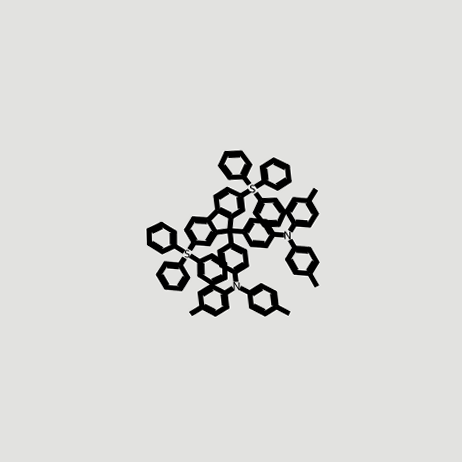 Cc1ccc(N(c2ccc(C)cc2)c2ccc(C3(c4ccc(N(c5ccc(C)cc5)c5ccc(C)cc5)cc4)c4cc(S(c5ccccc5)(c5ccccc5)c5ccccc5)ccc4-c4ccc(S(c5ccccc5)(c5ccccc5)c5ccccc5)cc43)cc2)cc1